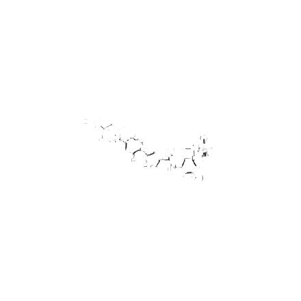 Cn1cc(C(=O)Nc2cc(Cl)cc(NS(C)(=O)=O)c2)cc1-c1ncc(N2CCC(C(F)(F)F)CC2)cc1F